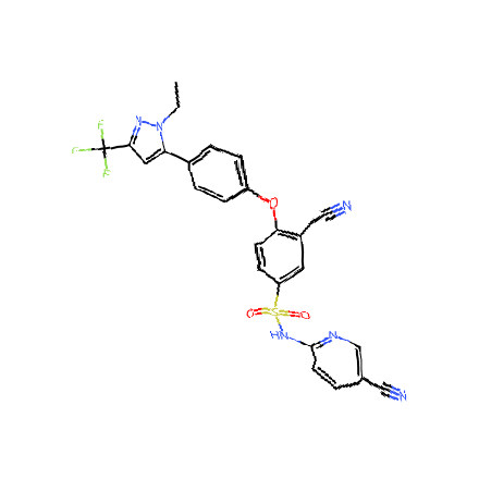 CCn1nc(C(F)(F)F)cc1-c1ccc(Oc2ccc(S(=O)(=O)Nc3ccc(C#N)cn3)cc2C#N)cc1